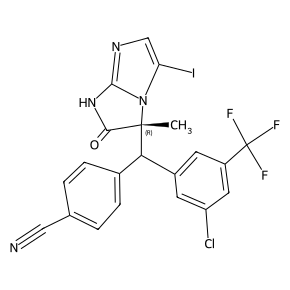 C[C@@]1(C(c2ccc(C#N)cc2)c2cc(Cl)cc(C(F)(F)F)c2)C(=O)Nc2ncc(I)n21